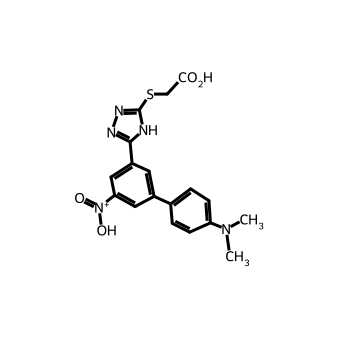 CN(C)c1ccc(-c2cc(-c3nnc(SCC(=O)O)[nH]3)cc([N+](=O)O)c2)cc1